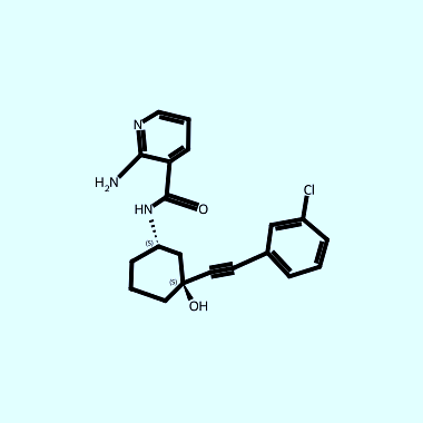 Nc1ncccc1C(=O)N[C@H]1CCC[C@@](O)(C#Cc2cccc(Cl)c2)C1